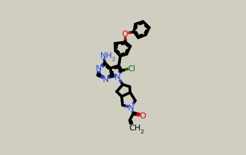 C=CC(=O)N1CC2CC(n3c(Cl)c(-c4ccc(Oc5ccccc5)cc4)c4c(N)ncnc43)CC2C1